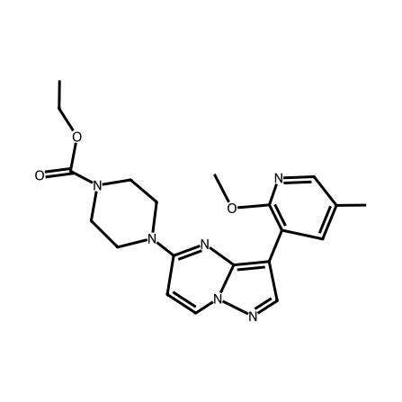 CCOC(=O)N1CCN(c2ccn3ncc(-c4cc(C)cnc4OC)c3n2)CC1